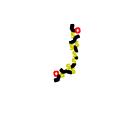 C=CC(=O)SC(C)C1CSC(CSCSCC2SCC(C(C)SC(=O)C=C)S2)S1